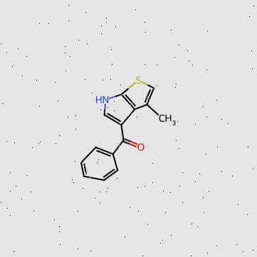 Cc1csc2[nH]cc(C(=O)c3ccccc3)c12